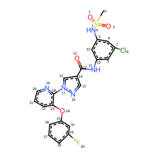 CS(=O)(=O)Nc1cc(Cl)cc(NC(=O)c2cnn(-c3ncccc3Oc3cccc(F)c3)c2)c1